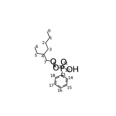 CCCCC(CC)COOP(=O)(O)c1ccccc1